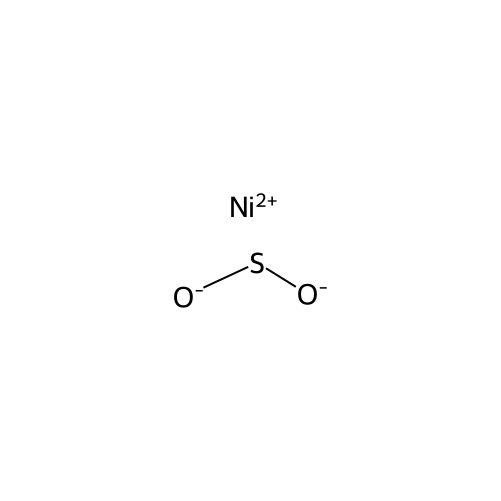 [Ni+2].[O-]S[O-]